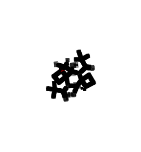 CC(C)(C)C(=O)N1C2(CCC2)[C@@](C)(O)N(C(=O)C(C)(C)C)C2(CCC2)[C@]1(O)C(F)(F)F